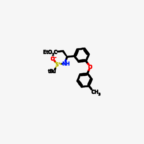 CCOC(=O)C[C@H](N[S@+]([O-])C(C)(C)C)c1cccc(Oc2cccc(C)c2)c1